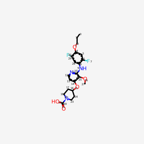 CCCOc1cc(F)c(Nc2nccc(OC3CCN(C(=O)O)CC3)c2OC)cc1F